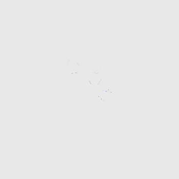 Cc1cc(-c2noc(C(F)(F)F)n2)ccc1Sc1ccccc1